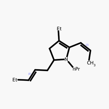 C/C=C\C1=C(CC)CC(C/C=C/CC)N1CCC